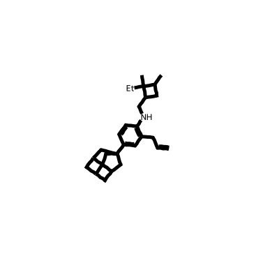 C=CCc1cc(C23CC4CC5CC(C2)C54C3)ccc1NCC1CC(C)C1(C)CC